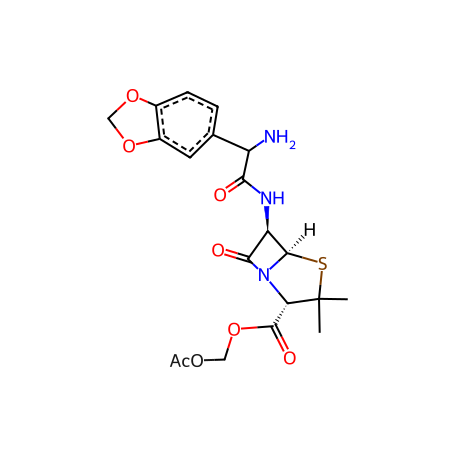 CC(=O)OCOC(=O)[C@@H]1N2C(=O)[C@@H](NC(=O)C(N)c3ccc4c(c3)OCO4)[C@H]2SC1(C)C